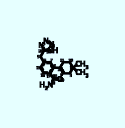 CC1(C)CC=C(c2cc(Cc3nnn[nH]3)ccc2C(N)=O)CC1